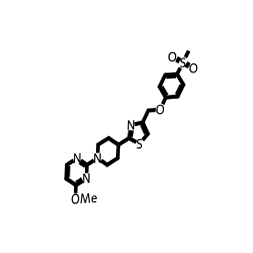 COc1ccnc(N2CCC(c3nc(COc4ccc(S(C)(=O)=O)cc4)cs3)CC2)n1